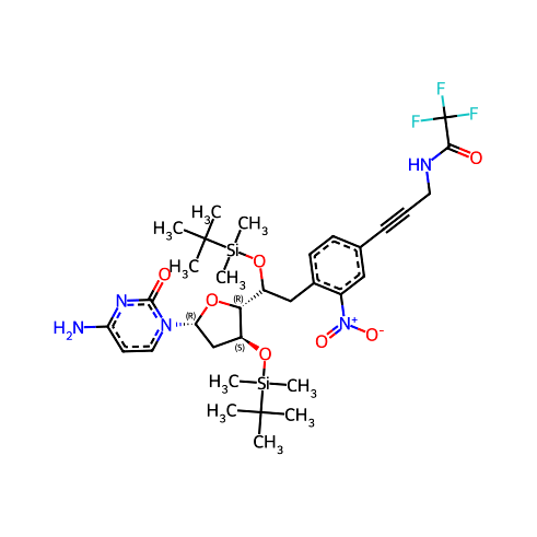 CC(C)(C)[Si](C)(C)OC(Cc1ccc(C#CCNC(=O)C(F)(F)F)cc1[N+](=O)[O-])[C@H]1O[C@@H](n2ccc(N)nc2=O)C[C@@H]1O[Si](C)(C)C(C)(C)C